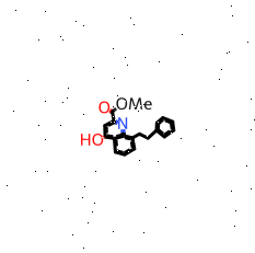 COC(=O)c1cc(O)c2cccc(CCc3ccccc3)c2n1